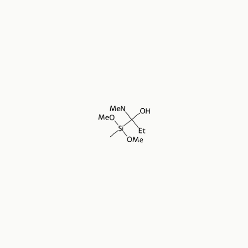 CCC(O)(NC)[Si](C)(OC)OC